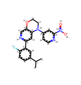 CC(C)c1ccc(F)c(-c2cc3c(cn2)OCCN3c2ccnc([N+](=O)[O-])c2)c1